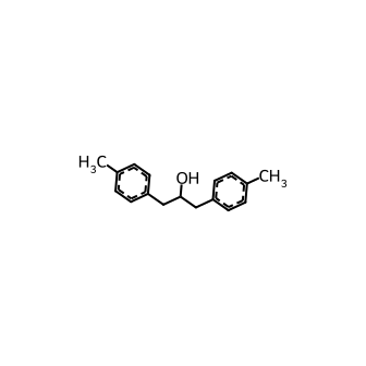 Cc1ccc(CC(O)Cc2ccc(C)cc2)cc1